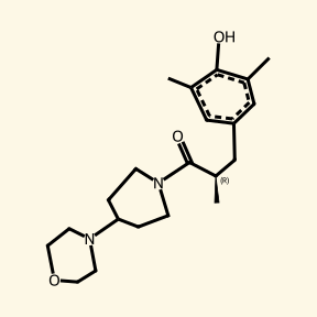 Cc1cc(C[C@@H](C)C(=O)N2CCC(N3CCOCC3)CC2)cc(C)c1O